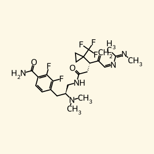 C=C(/C=N\C(C)=N/C)[C@H](CC(=O)NC[C@H](Cc1ccc(C(N)=O)c(F)c1F)N(C)C)C1(C(F)(F)F)CC1